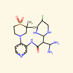 CC1(C)CN(c2ccncc2NC(=O)C(C(N)N)C2NCC(F)CN2)CCS1(=O)=O